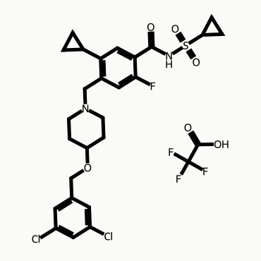 O=C(NS(=O)(=O)C1CC1)c1cc(C2CC2)c(CN2CCC(OCc3cc(Cl)cc(Cl)c3)CC2)cc1F.O=C(O)C(F)(F)F